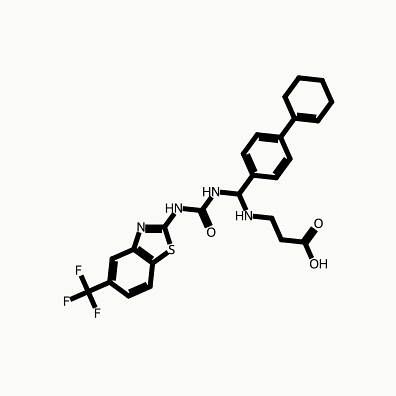 O=C(O)CCNC(NC(=O)Nc1nc2cc(C(F)(F)F)ccc2s1)c1ccc(C2=CCCCC2)cc1